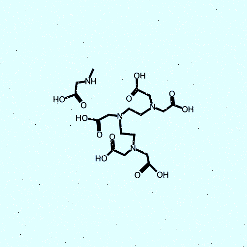 CNCC(=O)O.O=C(O)CN(CCN(CC(=O)O)CC(=O)O)CCN(CC(=O)O)CC(=O)O